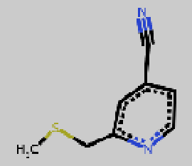 CSCc1cc(C#N)ccn1